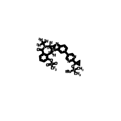 [2H]C([2H])([2H])N1C(=O)c2cccc(OS(=O)(=O)C(F)(F)F)c2[C@H]2C[C@@H]1c1nc3ccc(-c4cnc(C5(O[Si](C)(C)C(C)(C)C)CC5)nc4)cc3n12